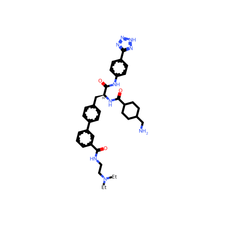 CCN(CC)CCNC(=O)c1cccc(-c2ccc(C[C@H](NC(=O)C3CCC(CN)CC3)C(=O)Nc3ccc(-c4nn[nH]n4)cc3)cc2)c1